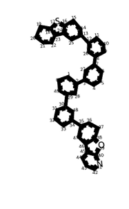 c1cc(-c2cccc(-c3cccc(-c4ccc5sc6ccccc6c5c4)c3)c2)cc(-c2cccc(-c3ccc4oc5ncccc5c4c3)c2)c1